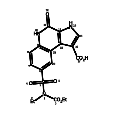 CCOC(=O)N(CC)S(=O)(=O)c1ccc2[nH]c(=O)c3[nH]cc(C(=O)O)c3c2c1